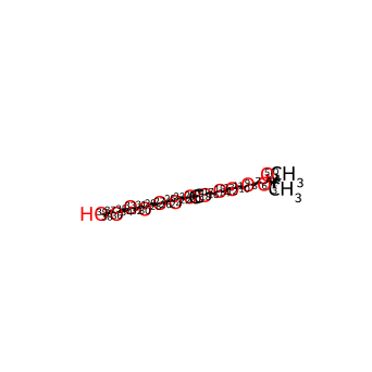 CC=C(C)C(=O)OCCOCCOCCOCCOCCOCCOCCOCCOCCOCCOCCO